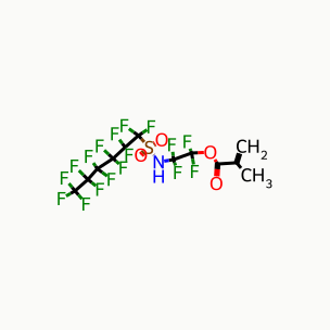 C=C(C)C(=O)OC(F)(F)C(F)(F)NS(=O)(=O)C(F)(F)C(F)(F)C(F)(F)C(F)(F)C(F)(F)C(F)(F)F